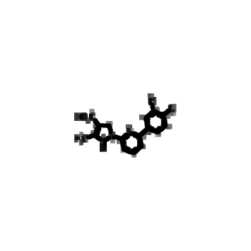 O=C(O)C1=C(C(F)(F)F)NN(c2cccc(-c3ccc(Cl)c(Cl)c3)n2)C1